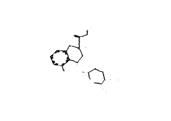 C[C@@H]1O[C@@H](O[C@H]2C[C@](O)(C(=O)CO)Cc3cccc(O)c32)C[C@H](C)[C@@H]1O